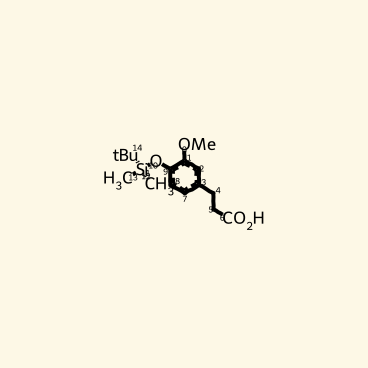 COc1cc(CCC(=O)O)ccc1O[Si](C)(C)C(C)(C)C